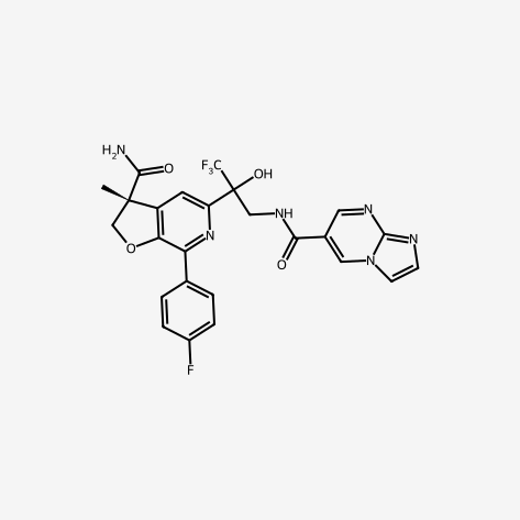 C[C@]1(C(N)=O)COc2c1cc(C(O)(CNC(=O)c1cnc3nccn3c1)C(F)(F)F)nc2-c1ccc(F)cc1